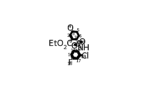 CCOC(=O)C1=CC(=O)CCC1S(=O)(=O)Nc1ccc(F)cc1Cl